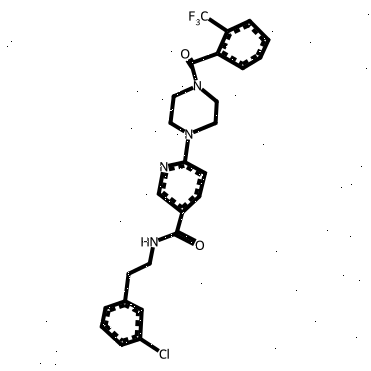 O=C(NCCc1cccc(Cl)c1)c1ccc(N2CCN(C(=O)c3ccccc3C(F)(F)F)CC2)nc1